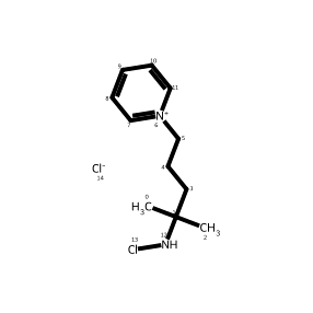 CC(C)(CCC[n+]1ccccc1)NCl.[Cl-]